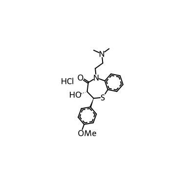 COc1ccc([C@@H]2Sc3ccccc3N(CCN(C)C)C(=O)[C@H]2O)cc1.Cl